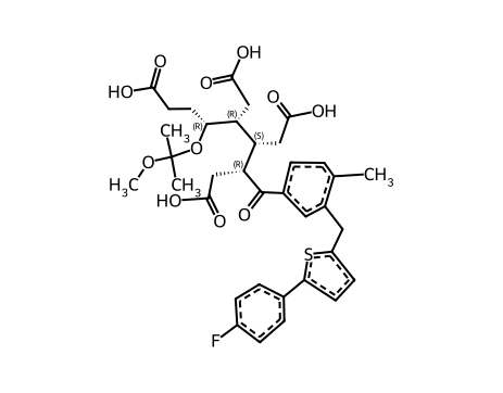 COC(C)(C)O[C@H](CCC(=O)O)[C@H](CC(=O)O)[C@H](CC(=O)O)[C@@H](CC(=O)O)C(=O)c1ccc(C)c(Cc2ccc(-c3ccc(F)cc3)s2)c1